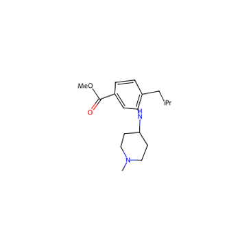 COC(=O)c1ccc(CC(C)C)c(NC2CCN(C)CC2)c1